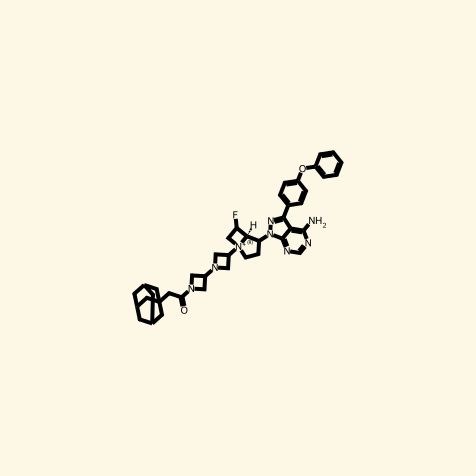 Nc1ncnc2c1c(-c1ccc(Oc3ccccc3)cc1)nn2C1CC[N+]2(C3CN(C4CN(C(=O)CC56CC7CC(CC(C7)C5)C6)C4)C3)CC(F)[C@@H]12